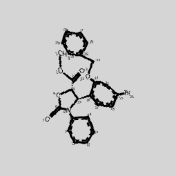 COC(=O)[C@H]1OC(=O)N(c2ccccc2)[C@@H]1c1ccc(Br)cc1OCc1ccccc1